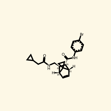 O=C(CC1CC1)NC[C@H]1[C@H](C(=O)Nc2ccc(Br)cc2)[C@@H]2C=C[C@H]1C21CC1